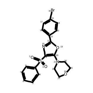 O=S(=O)(c1ccccc1)c1nc(-c2ccc(Br)cc2)oc1N1CCOCC1